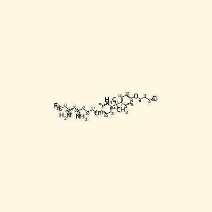 CC(C)(c1ccc(OCCCCl)cc1)c1ccc(OCCCN(N)/C=C(\N)CSF)cc1